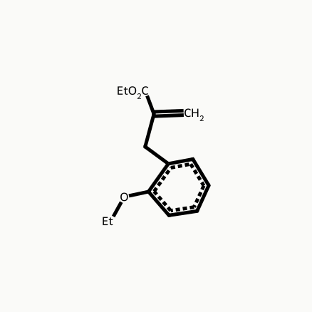 C=C(Cc1ccccc1OCC)C(=O)OCC